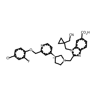 N#CCC1(Cn2c(CN3CC[C@@H](c4ccnc(COc5ccc(Cl)cc5F)c4)C3)nc3ccc(C(=O)O)cc32)CC1